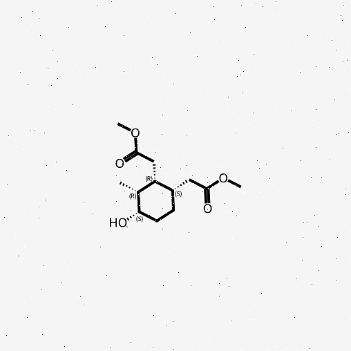 COC(=O)C[C@@H]1CC[C@H](O)[C@H](C)[C@@H]1CC(=O)OC